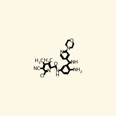 Cc1c(C(=O)Nc2ccc(N)c(C(=N)c3ccnc(N4CCOCC4)c3)c2)nc(Cl)c(C#N)c1C